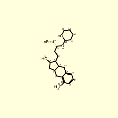 CCCCC[C@@H](CCC1C(O)CC2Cc3c(C)cccc3CC21)OC1CCCCO1